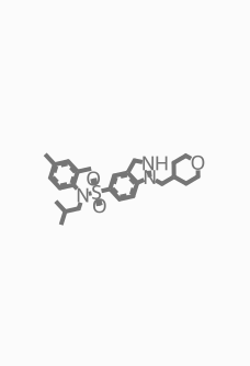 Cc1ccc(N(CC(C)C)S(=O)(=O)c2ccc3c(c2)CNN3CC2CCOCC2)c(C)c1